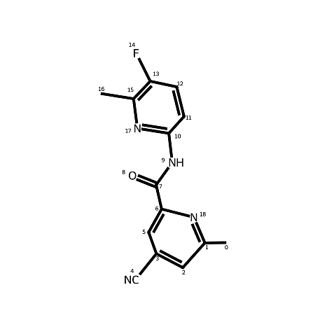 Cc1cc(C#N)cc(C(=O)Nc2ccc(F)c(C)n2)n1